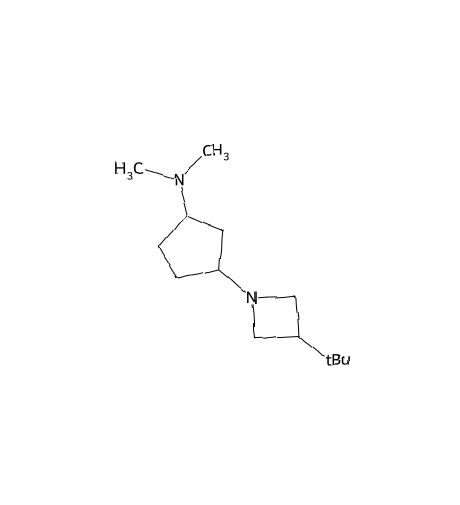 CN(C)C1CCC(N2CC(C(C)(C)C)C2)C1